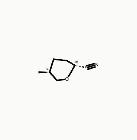 C[C@H]1CC[C@H](C#N)OC1